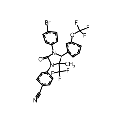 CC1(C(F)(F)F)C(c2cccc(OC(F)(F)F)c2)N(c2ccc(Br)cc2)C(=O)N1c1ccc(C#N)cc1